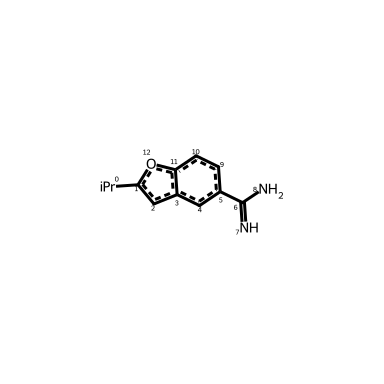 CC(C)c1cc2cc(C(=N)N)ccc2o1